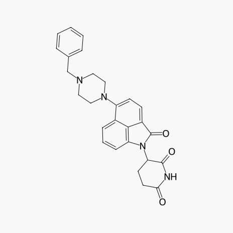 O=C1CCC(N2C(=O)c3ccc(N4CCN(Cc5ccccc5)CC4)c4cccc2c34)C(=O)N1